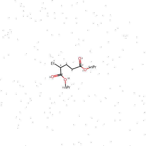 CCCOC(=O)CCC(CC)C(=O)OCCC